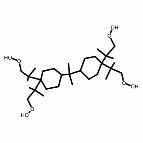 CC(C)(C1CCC(C(C)(C)COO)(C(C)(C)COO)CC1)C1CCC(C(C)(C)COO)(C(C)(C)COO)CC1